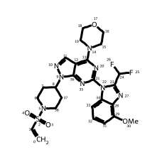 C=CS(=O)(=O)N1CCC(n2ncc3c(N4CCOCC4)nc(-n4c(C(F)F)nc5c(OC)cccc54)nc32)CC1